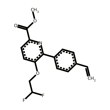 C=Cc1ccc(-c2nc(C(=O)OC)ccc2OCC(F)F)cc1